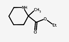 CCOC(=O)C1(C)CCCCN1